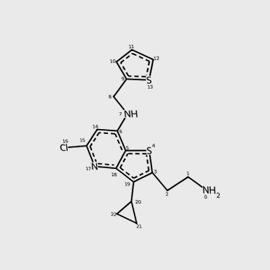 NCCc1sc2c(NCc3cccs3)cc(Cl)nc2c1C1CC1